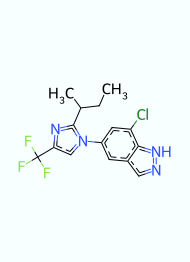 CCC(C)c1nc(C(F)(F)F)cn1-c1cc(Cl)c2[nH]ncc2c1